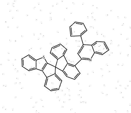 c1ccc(-c2cc(-c3cccc4c3-c3ccccc3C43c4ccccc4-c4c3sc3ccccc43)nc3ccccc23)cc1